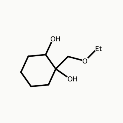 CCOCC1(O)CCCCC1O